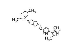 Cc1cnn(C)c1-c1ccc(OCC2CC3CN(CC45CC(C)CC(CC(C)C4)C5)CC3C2)nn1